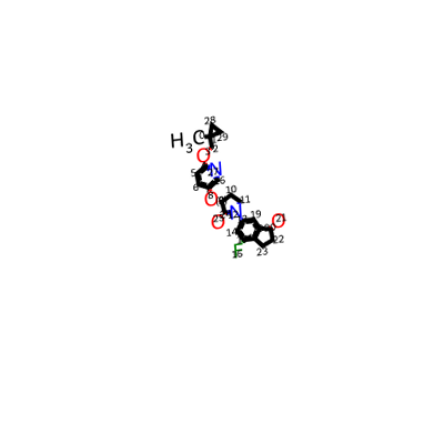 CC1(COc2ccc(O[C@@H]3CCN(c4cc(F)c5c(c4)C(=O)CC5)C3=O)cn2)CC1